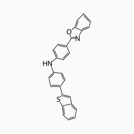 c1ccc2sc(-c3ccc(Nc4ccc(-c5nc6ccccc6o5)cc4)cc3)cc2c1